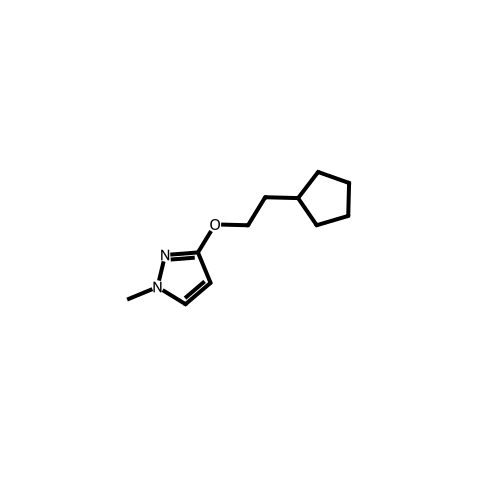 Cn1ccc(OCCC2CCCC2)n1